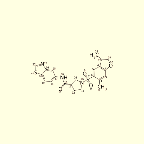 Cc1cc2c(cc1S(=O)(=O)N1CC[C@@H](C(=O)Nc3ccc4scnc4c3)C1)C(C)CO2